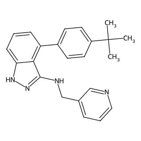 CC(C)(C)c1ccc(-c2cccc3[nH]nc(NCc4cccnc4)c23)cc1